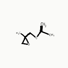 C=C(C)OCC1(C)CO1